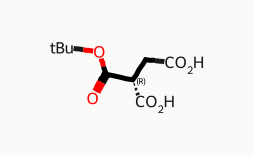 CC(C)(C)OC(=O)[C@H](CC(=O)O)C(=O)O